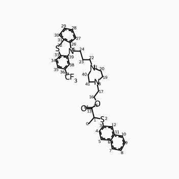 CC(Sc1ccc2ccccc2c1)C(=O)OCCN1CCN(CCCN2c3ccccc3Sc3ccc(C(F)(F)F)cc32)CC1